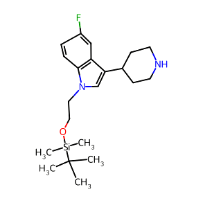 CC(C)(C)[Si](C)(C)OCCn1cc(C2CCNCC2)c2cc(F)ccc21